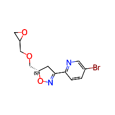 Brc1ccc(C2=NO[C@H](COCC3CO3)C2)nc1